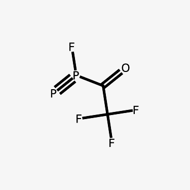 O=C(P(F)#P)C(F)(F)F